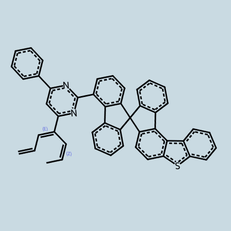 C=C/C=C(\C=C/C)c1cc(-c2ccccc2)nc(-c2cccc3c2-c2ccccc2C32c3ccccc3-c3c2ccc2sc4ccccc4c32)n1